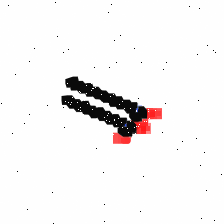 CCCCCCCCCCCCCCCCCCN(CCO)CCO.CCCCCCCCCCCCCCCCN(CCO)CCO